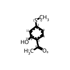 CSc1ccc(C(C)=O)c(O)c1